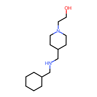 OCCN1CCC(CNCC2CCCCC2)CC1